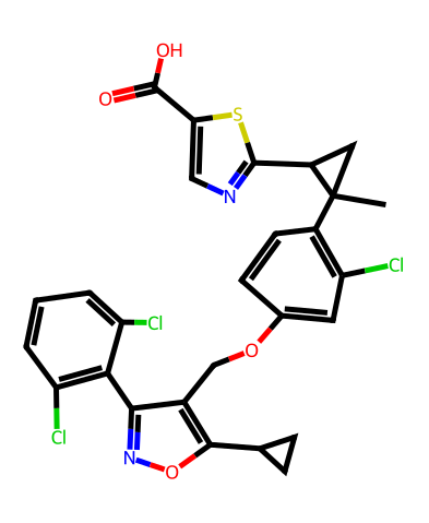 CC1(c2ccc(OCc3c(-c4c(Cl)cccc4Cl)noc3C3CC3)cc2Cl)CC1c1ncc(C(=O)O)s1